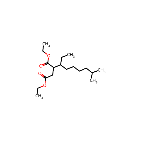 CCOC(=O)CC(C(=O)OCC)C(CC)CCCCC(C)C